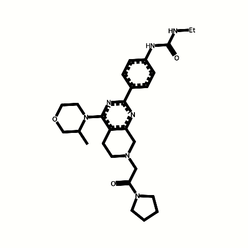 CCNC(=O)Nc1ccc(-c2nc3c(c(N4CCOCC4C)n2)CCN(CC(=O)N2CCCC2)C3)cc1